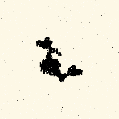 CN(CCCNc1cccc2c1C(=O)N(C1CCC(=O)NC1=O)C2=O)C[C@H]1CC[C@H](c2nc3cc(C(C)(C)Oc4cc(C(=O)Nc5cc6sc([C@H]7CC[C@H](C(=O)N8CCC(CCNc9cccc%10c9C(=O)N(C9CCC(=O)NC9=O)C%10=O)CC8)CC7)nc6cc5C(C)(C)O)nc(C(F)(F)F)c4)c(NC(=O)c4cccc(C(F)(F)F)n4)cc3s2)CC1